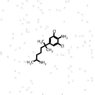 CC(N)CCCC(C)(C)c1cc(Cl)c(N)c(Cl)c1